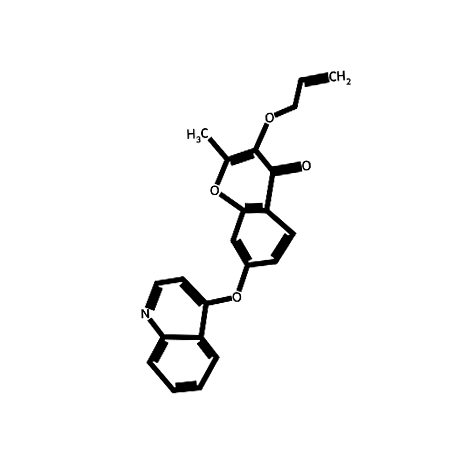 C=CCOc1c(C)oc2cc(Oc3ccnc4ccccc34)ccc2c1=O